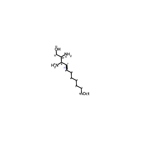 CCCCCCCCCCCCC/C=C/C(N)C(N)CO